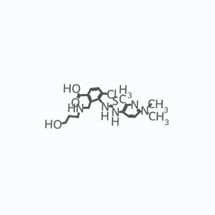 Cc1nc(N(C)C)ccc1NC(=S)Nc1c(Cl)ccc(C(=O)O)c1CNCCCO